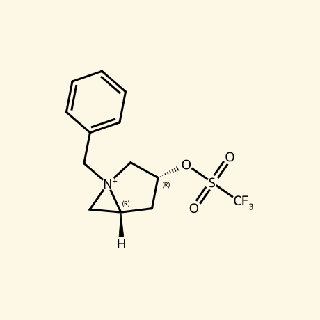 O=S(=O)(O[C@@H]1C[C@@H]2C[N+]2(Cc2ccccc2)C1)C(F)(F)F